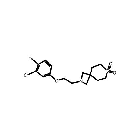 O=S1(=O)CCC2(CC1)CN(CCOc1ccc(F)c(Cl)c1)C2